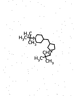 CC(C)(C)CN1CCC(CC2CCN(C(C)(C)C)CC2)C1